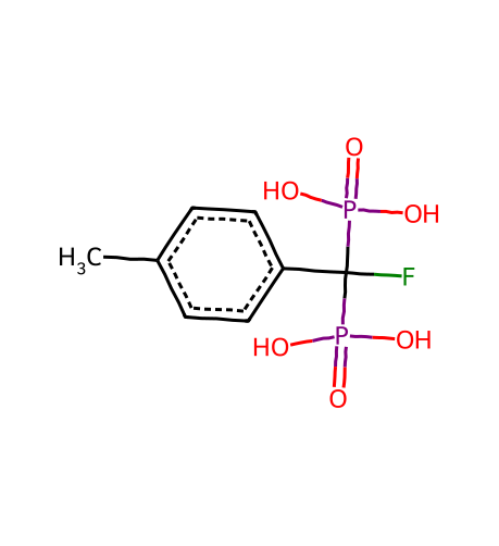 Cc1ccc(C(F)(P(=O)(O)O)P(=O)(O)O)cc1